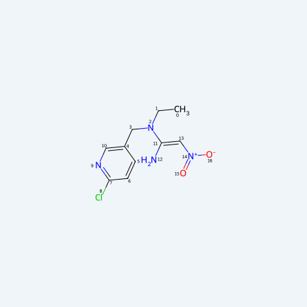 CCN(Cc1ccc(Cl)nc1)C(N)=C[N+](=O)[O-]